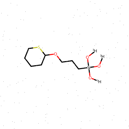 [3H]O[Si](CCCOC1CCCCS1)(O[3H])O[3H]